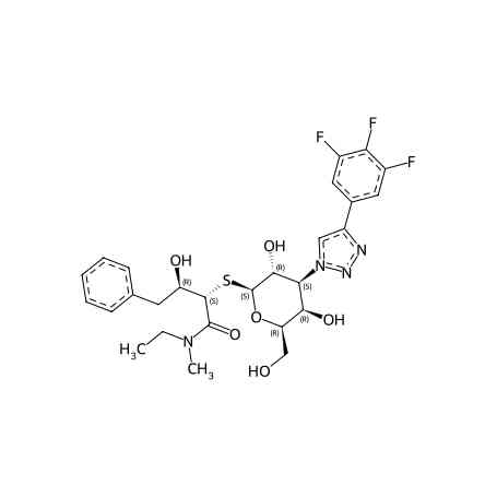 CCN(C)C(=O)[C@@H](S[C@@H]1O[C@H](CO)[C@H](O)[C@H](n2cc(-c3cc(F)c(F)c(F)c3)nn2)[C@H]1O)[C@H](O)Cc1ccccc1